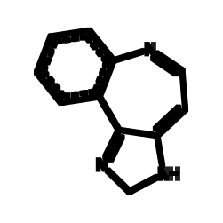 C1=Nc2ccccc2C2=NCNC2=C1